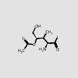 CC(=O)O[C@@H](CO)C(C)[C@H](N)C(=O)I